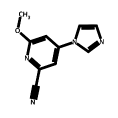 COc1cc(-n2ccnc2)cc(C#N)n1